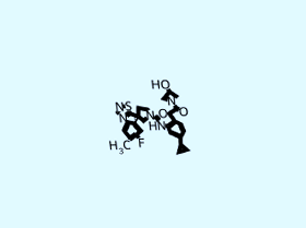 Cc1ccc([C@@]2(c3ncns3)CCN(C(=O)Nc3cc(C4CC4)ccc3CC(=O)N3CC(O)C3)C2)cc1F